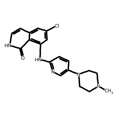 CN1CCN(c2ccc(Nc3cc(Cl)cc4cc[nH]c(=O)c34)nc2)CC1